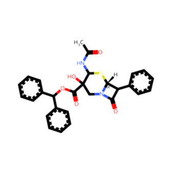 CC(=O)NC1S[C@@H]2C(c3ccccc3)C(=O)N2CC1(O)C(=O)OC(c1ccccc1)c1ccccc1